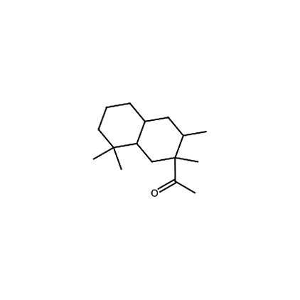 CC(=O)C1(C)CC2C(CCCC2(C)C)CC1C